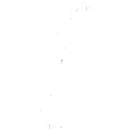 CCCCCCc1ccc([C@H]2CC[C@H](C#Cc3ccc(OCCC)cc3)CC2)cc1